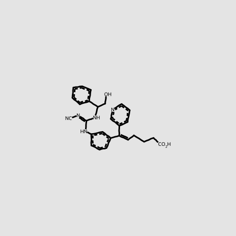 N#CN=C(Nc1cccc(C(=CCCCC(=O)O)c2cccnc2)c1)NC(CO)c1ccccc1